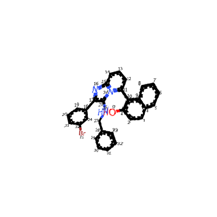 Oc1ccc2ccccc2c1-c1cccc2nc(-c3cccc(Br)c3)c(NCc3ccccc3)n12